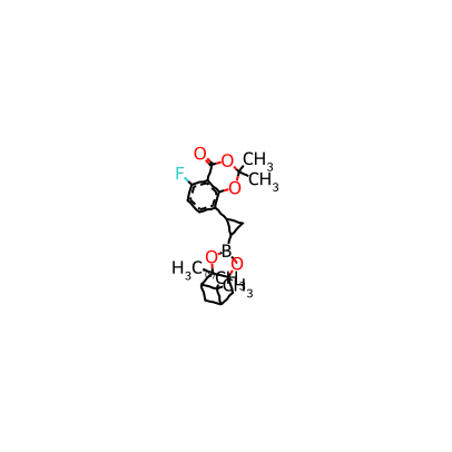 CC1(C)OC(=O)c2c(F)ccc(C3CC3B3OC4CC5CC(C5(C)C)[C@]4(C)O3)c2O1